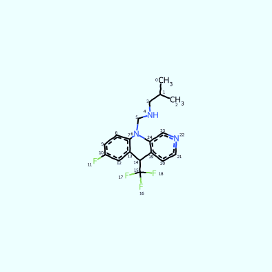 CC(C)CNCN1c2ccc(F)cc2C(C(F)(F)F)c2ccncc21